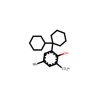 CC(C)(C)c1cc(C(=O)O)c(O)c(C2(C3CCCCC3)CCCCC2)c1